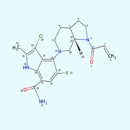 C=CC(=O)N1CCC2CCN(c3c(F)cc(C(N)=O)c4[nH]c(C)c(Cl)c34)C[C@H]21